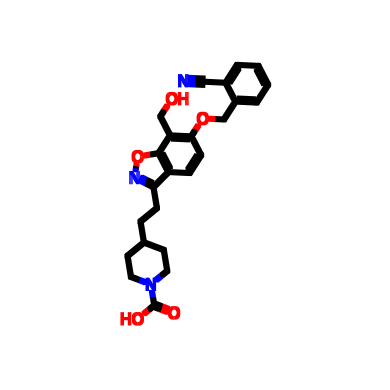 N#Cc1ccccc1COc1ccc2c(CCC3CCN(C(=O)O)CC3)noc2c1CO